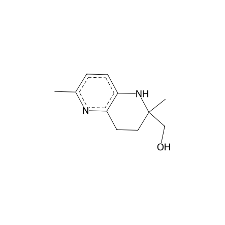 Cc1ccc2c(n1)CCC(C)(CO)N2